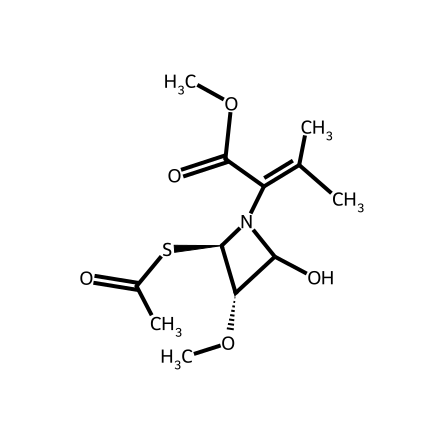 COC(=O)C(=C(C)C)N1C(O)[C@H](OC)[C@H]1SC(C)=O